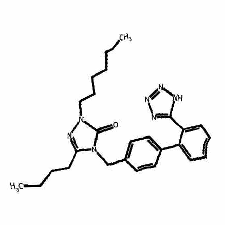 CCCCCCn1nc(CCCC)n(Cc2ccc(-c3ccccc3-c3nnn[nH]3)cc2)c1=O